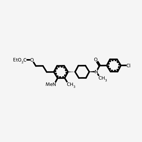 CCOC(=O)OCCCc1ccc([C@H]2CC[C@H](N(C)C(=O)c3ccc(Cl)cc3)CC2)c(C)c1NC